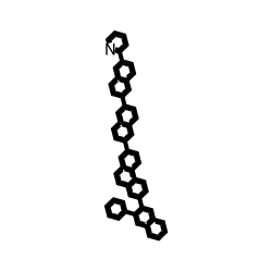 c1ccc(-c2cc3ccccc3cc2-c2ccc3c(ccc4cc(-c5ccc6cc(-c7ccc8cc(-c9ccccn9)ccc8c7)ccc6c5)ccc43)c2)cc1